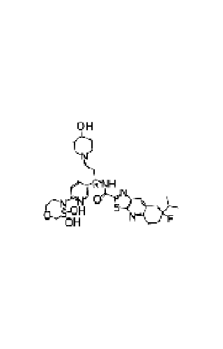 CC(C)C1(F)CCc2nc3sc(C(=O)N[C@H](CCN4CCC(O)CC4)c4ccc(N5CCOCS5(O)O)nc4)nc3cc2C1